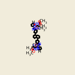 COC(=O)N[C@H](C(=O)N1C[C@@H]2CC[C@@]1(c1nc3cc(-c4cccc5c(-c6ccc7[nH]c([C@@]89CC[C@@H](CN8C(=O)[C@@H](NC(=O)OC)C(C)C)C9)nc7c6)cccc45)ccc3[nH]1)C2)C(C)C